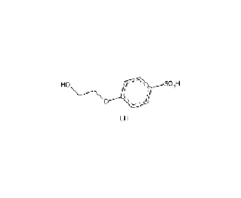 O=S(=O)(O)c1ccc(OCCO)cc1.[LiH]